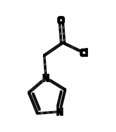 O=C(Cl)Cn1ccnc1